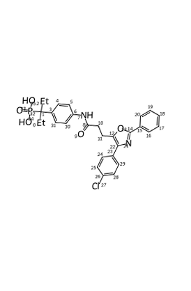 CCC(CC)(c1ccc(NC(=O)CCc2oc(-c3ccccc3)nc2-c2ccc(Cl)cc2)cc1)P(=O)(O)O